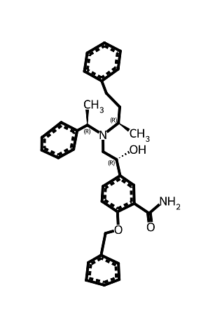 C[C@H](CCc1ccccc1)N(C[C@H](O)c1ccc(OCc2ccccc2)c(C(N)=O)c1)[C@H](C)c1ccccc1